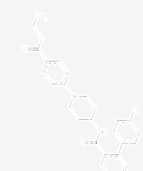 CCOC(=O)c1ccc(N2CCC(NC(=O)c3ccccc3-c3ccc(Cl)cc3)CC2)cc1